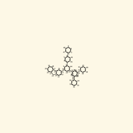 c1ccc(-c2ccc(-c3cc(-c4ccc5c(c4)-c4ccccc4C5)cc(-c4nc(-c5ccccc5)nc(-c5ccccc5)n4)c3)cc2)cc1